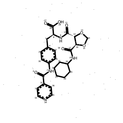 O=C(Nc1ccc(C[C@H](NC(=O)[C@@H]2OCO[C@H]2C(=O)NC2CCCCC2)C(=O)O)cc1)c1ccncc1